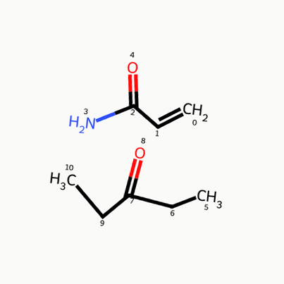 C=CC(N)=O.CCC(=O)CC